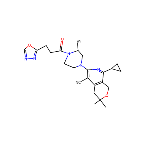 CC(C)C1CN(c2nc(C3CC3)c3c(c2C#N)CC(C)(C)OC3)CCN1C(=O)CCc1nnco1